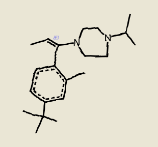 C/C=C(\c1ccc(C(C)(C)C)cc1C)N1CCN(C(C)C)CC1